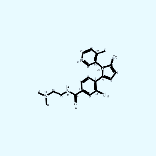 CCc1ccc(-c2ccc(C(=O)NCCN(C)C)cc2Cl)n1-c1cnccc1C